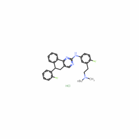 CCCCN(C)CCc1cc(Nc2ncc3c(n2)-c2ccccc2C(c2ccccc2F)C3)ccc1F.Cl